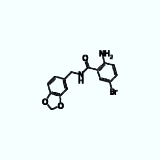 Nc1ccc(Br)cc1C(=O)NCc1ccc2c(c1)OCO2